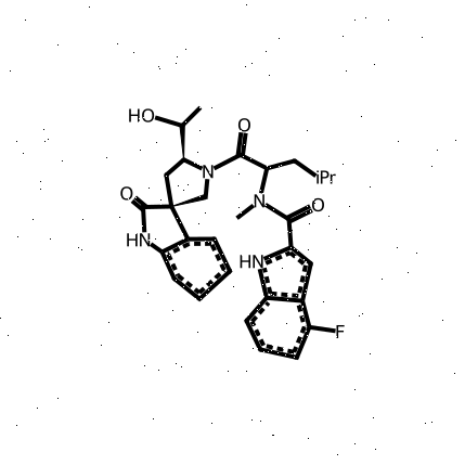 CC(C)CC(C(=O)N1C[C@]2(C[C@H]1C(C)O)C(=O)Nc1ccccc12)N(C)C(=O)c1cc2c(F)cccc2[nH]1